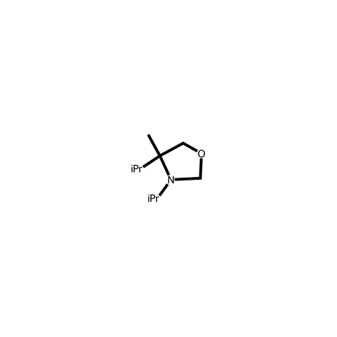 CC(C)N1COCC1(C)C(C)C